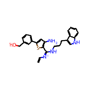 C=C/N=C(/NCCCc1c[nH]c2ccccc12)c1sc(-c2cccc(CO)c2)cc1N